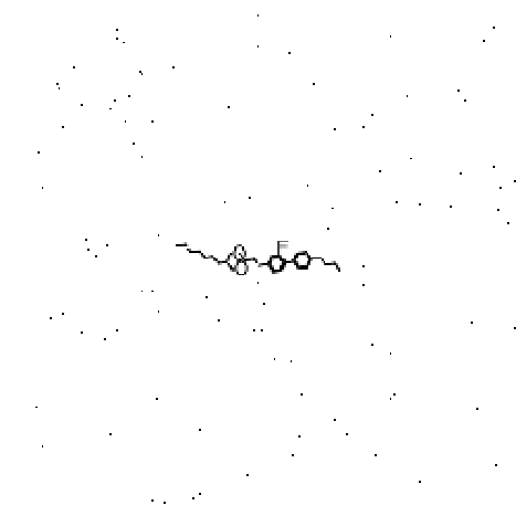 CCCCCCCC1COC(CCc2ccc(-c3ccc(CCCC)cc3)c(F)c2)OC1